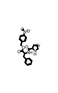 Br.O=C(NC(Cc1ccccc1)C(=O)OCc1ccc([N+](=O)[O-])cc1)C1CCCN1